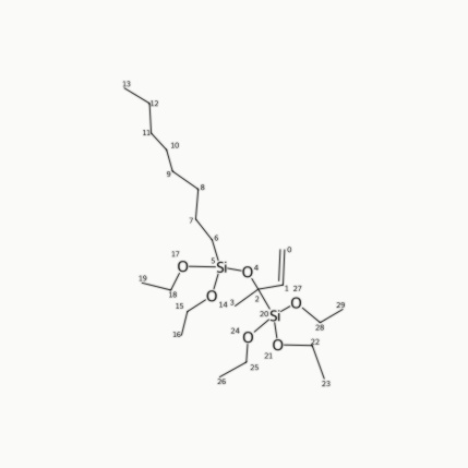 C=CC(C)(O[Si](CCCCCCCC)(OCC)OCC)[Si](OCC)(OCC)OCC